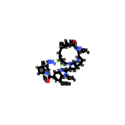 COc1cc(C(=O)N2C[C@H](N)[C@@H]3CC[C@H]2C3)cc2nc(-c3cc4ccc5nc4n3CC(F)(F)CCC[C@@H]3C[C@H]3C(=O)N[C@@H]5C)n(C)c12